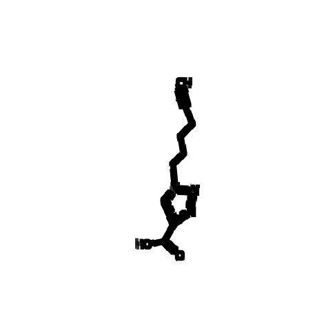 C#CCCCCn1cc(C(=O)O)nn1